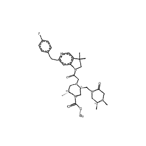 C[C@@H]1CN(CC(=O)N2CC(C)(C)c3cnc(Cc4ccc(F)cc4)cc32)[C@@H](CN2C[C@H](C)N(C)CC2=O)CN1C(=O)OC(C)(C)C